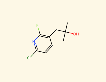 CC(C)(O)Cc1ccc(Cl)nc1F